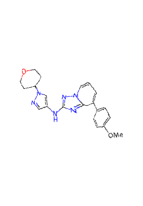 COc1ccc(-c2cccn3nc(Nc4cnn(C5CCOCC5)c4)nc23)cc1